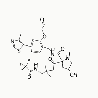 Cc1ncsc1-c1ccc(CNC(=O)C2(C(=O)CC(C)(C)CNC(=O)C3(F)CC3)CC(O)CN2)c(OCC=O)c1